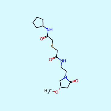 CO[C@H]1CC(=O)N(CCNC(=O)CSCC(=O)NC2CCCC2)C1